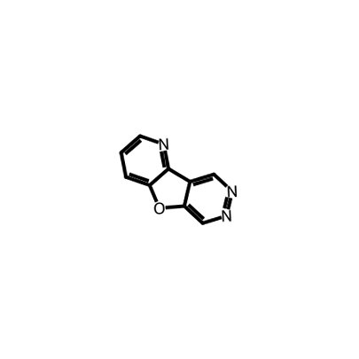 c1cnc2c(c1)oc1cnncc12